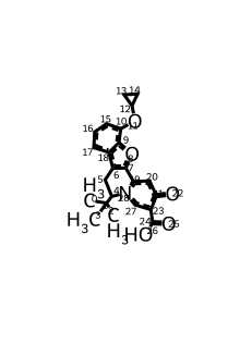 CC(C)(C)C1Cc2c(oc3c(OC4CC4)cccc23)-c2cc(=O)c(C(=O)O)cn21